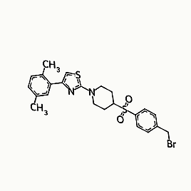 Cc1ccc(C)c(-c2csc(N3CCC(S(=O)(=O)c4ccc(CBr)cc4)CC3)n2)c1